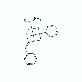 NC(=S)C12CC3/C(=C/c4ccccc4)C4CC(c5ccccc5)(C1)C342